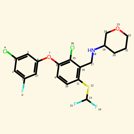 Fc1cc(Cl)cc(Oc2ccc(SC(F)F)c(CNC3CCCOC3)c2Cl)c1